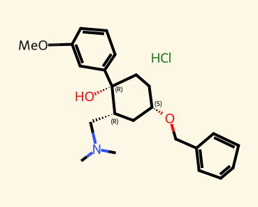 COc1cccc([C@@]2(O)CC[C@H](OCc3ccccc3)C[C@@H]2CN(C)C)c1.Cl